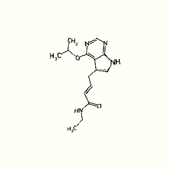 CCNC(=O)C=CCc1c[nH]c2ncnc(OC(C)C)c12